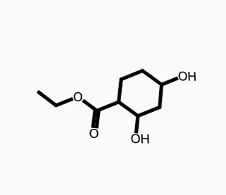 CCOC(=O)C1CCC(O)CC1O